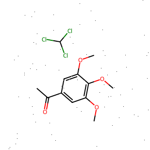 COc1cc(C(C)=O)cc(OC)c1OC.ClC(Cl)Cl